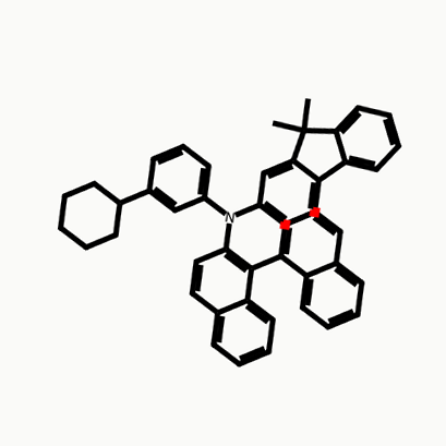 CC1(C)c2ccccc2-c2ccc(N(c3cccc(C4CCCCC4)c3)c3ccc4ccccc4c3-c3cccc4ccccc34)cc21